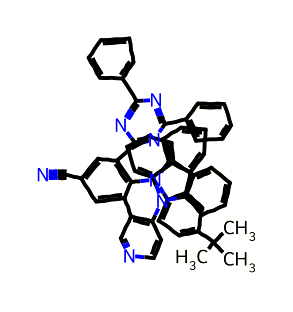 CC(C)(C)c1ccc2c(c1)c1ccccc1n2-c1c(-c2nc(-c3ccccc3)nc(-c3ccccc3)n2)cc(C#N)cc1-c1cnccc1-n1c2ccccc2c2ccccc21